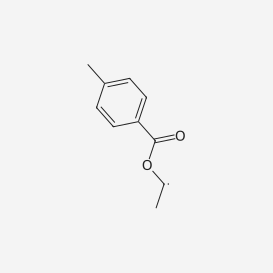 C[CH]OC(=O)c1ccc(C)cc1